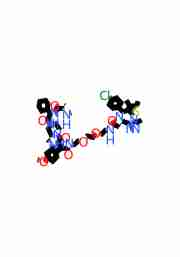 CN[C@@H](C)C(=O)N[C@H](C(=O)N1CCN(C(=O)c2c(C(=O)NCCOCCOCCNC(=O)C[C@@H]3N=C(c4ccc(Cl)cc4)c4c(sc(C)c4C)-n4c(C)nnc43)c3ccc(OC)cc3n2C)CC1)C1CCCCC1